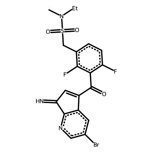 CCN(C)S(=O)(=O)Cc1ccc(F)c(C(=O)C2=CC(=N)c3ncc(Br)cc32)c1F